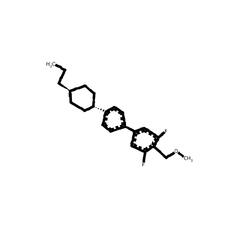 CCC[C@H]1CC[C@H](c2ccc(-c3cc(F)c(COC)c(F)c3)cc2)CC1